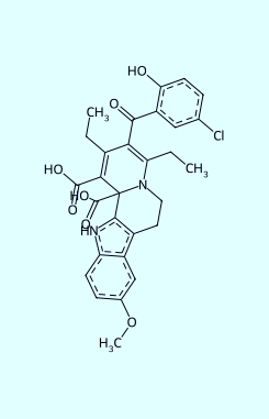 CCC1=C(C(=O)O)C2(C(=O)O)c3[nH]c4ccc(OC)cc4c3CCN2C(CC)=C1C(=O)c1cc(Cl)ccc1O